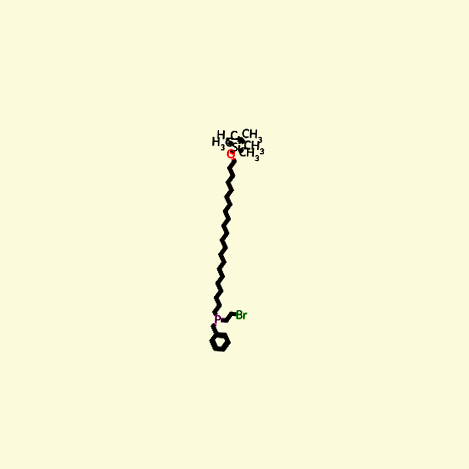 CC(C)(C)[Si](C)(C)OCCCCCCCCCCCCCCCCCCCCCCP(CCBr)Cc1ccccc1